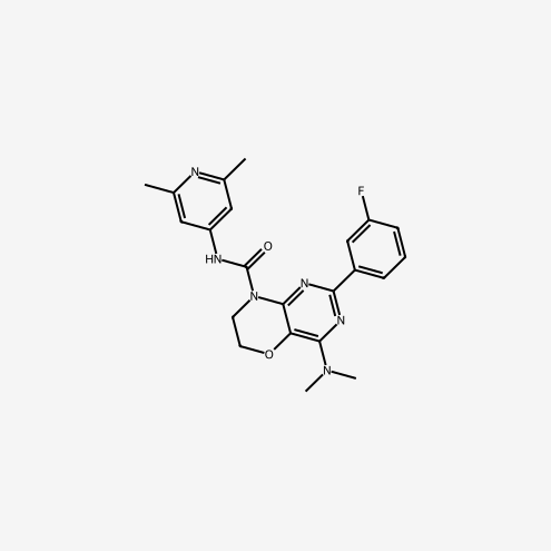 Cc1cc(NC(=O)N2CCOc3c(N(C)C)nc(-c4cccc(F)c4)nc32)cc(C)n1